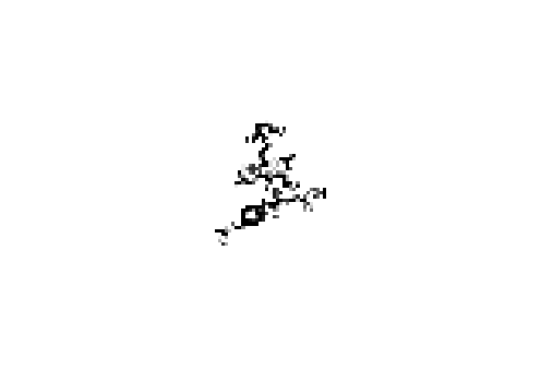 CC(=O)OCc1ccc(NC(=O)[C@H](CCC(=O)O)NC(=O)[C@H](CC(C)C)NC(=O)[C@@H](CC(C)C)NC(=O)CCN2C(=O)C=CC2=O)cc1